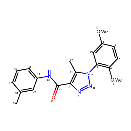 COc1ccc(OC)c(-n2nnc(C(=O)Nc3cccc(C)c3)c2C)c1